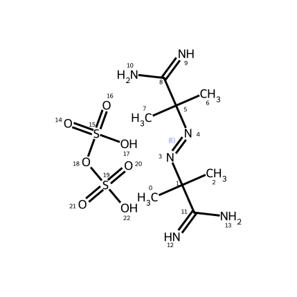 CC(C)(/N=N/C(C)(C)C(=N)N)C(=N)N.O=S(=O)(O)OS(=O)(=O)O